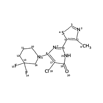 Cc1ncsc1-c1nc(N2CCCC(F)(F)C2)c(Cl)c(=O)[nH]1